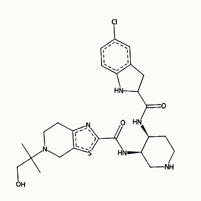 CC(C)(CO)N1CCc2nc(C(=O)N[C@@H]3CNCC[C@@H]3NC(=O)C3Cc4cc(Cl)ccc4N3)sc2C1